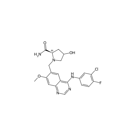 COc1cc2ncnc(Nc3ccc(F)c(Cl)c3)c2cc1CN1CC(O)C[C@@H]1C(N)=O